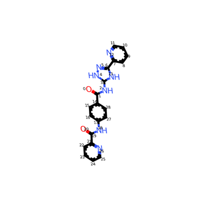 O=C(NC1NN=C(c2ccccn2)N1)c1ccc(NC(=O)c2ccccn2)cc1